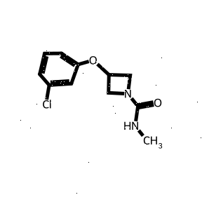 CNC(=O)N1CC(Oc2cccc(Cl)c2)C1